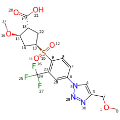 COCc1cn(-c2ccc(S(=O)(=O)[C@H]3C[C@@H](OC)[C@H](C(=O)O)C3)c(C(F)(F)F)c2)nn1